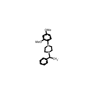 [CH2]C(c1ccccc1)N1CCN(c2ccc(OC)cc2OC)CC1